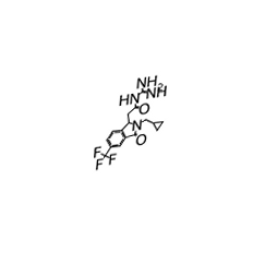 N=C(N)NC(=O)CC1c2ccc(C(F)(F)F)cc2C(=O)N1CC1CC1